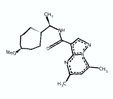 CO[C@H]1CC[C@H]([C@@H](C)NC(=O)c2cnn3c(C)cc(C)nc23)CC1